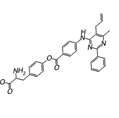 C=CCc1c(C)nc(-c2ccccc2)nc1Nc1ccc(C(=O)Oc2ccc(CC(N)C(=O)O)cc2)cc1